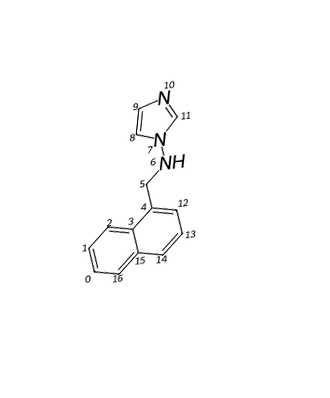 c1ccc2c(CNn3ccnc3)cccc2c1